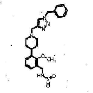 COc1c(CN[SH](=O)=O)cccc1C1CCN(Cc2cn(Cc3ccccc3)nn2)CC1